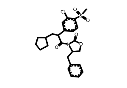 CS(=O)(=O)c1ccc(C(CC2CCCC2)C(=O)N2C(=O)OCC2Cc2ccccc2)cc1Cl